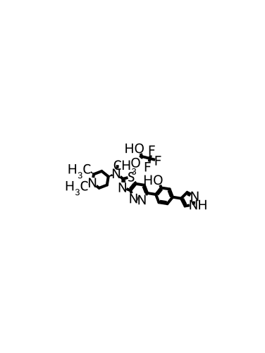 C[C@@H]1C[C@@H](N(C)c2nc3nnc(-c4ccc(-c5cn[nH]c5)cc4O)cc3s2)CCN1C.O=C(O)C(F)(F)F